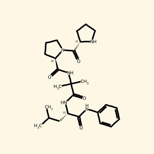 CC(C)C[C@H](NC(=O)C(C)(C)NC(=O)[C@H]1CCCN1C(=O)[C@@H]1CCCN1)C(=O)Nc1ccccc1